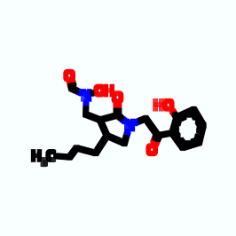 CCCCC1CN(CC(=O)c2ccccc2O)C(=O)C1CN(O)C=O